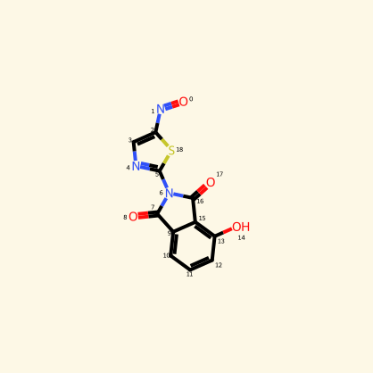 O=Nc1cnc(N2C(=O)c3cccc(O)c3C2=O)s1